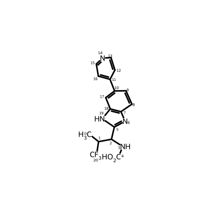 CC(C(NC(=O)O)c1nc2ccc(-c3ccncc3)cc2[nH]1)C(F)(F)F